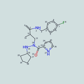 C=C(NCc1ccc(F)cc1)C(C)CN(NC1CCCC1)C(=O)c1ccc[nH]1